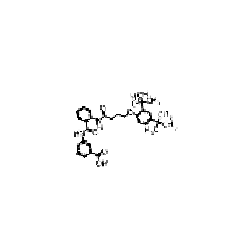 CC(C)(C)c1ccc(OCCCC(=O)Nc2ccccc2C(=O)Nc2cccc(C(=O)O)c2)c(C(C)(C)C)c1